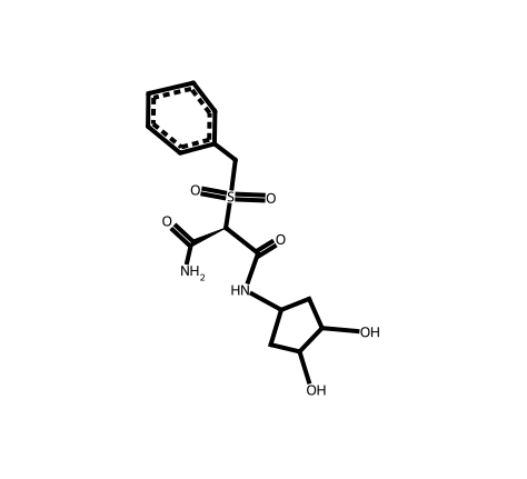 NC(=O)[C@H](C(=O)NC1CC(O)C(O)C1)S(=O)(=O)Cc1ccccc1